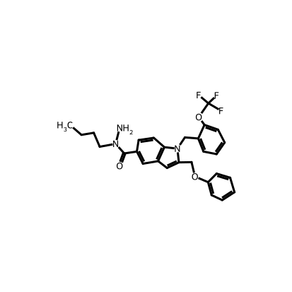 CCCCN(N)C(=O)c1ccc2c(c1)cc(COc1ccccc1)n2Cc1ccccc1OC(F)(F)F